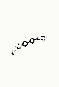 CC(=O)NC[C@H]1CN(c2ccc(-c3ccc(C(O)Cn4ccnn4)cc3)c(F)c2)C(=O)O1